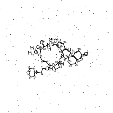 C[C@H]1C/C=C/[C@H](OCCN2CCOCC2)[C@@H]2CC[C@H]2CN2C[C@@]3(CCCc4cc(Cl)ccc43)COc3ccc(cc32)S(=O)(=O)NC(=O)[C@@H]1C